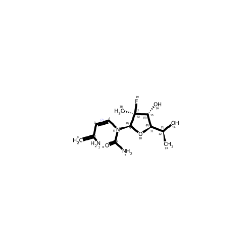 C=C(N)/C=C\N(C(N)=O)[C@@H]1O[C@H]([C@H](C)O)[C@@H](O)[C@]1(C)F